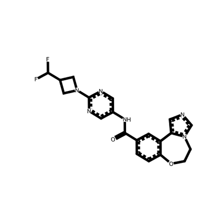 O=C(Nc1cnc(N2CC(C(F)F)C2)nc1)c1ccc2c(c1)-c1cncn1CCO2